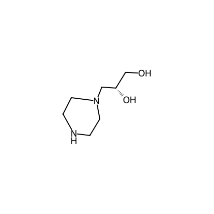 OC[C@H](O)CN1CCNCC1